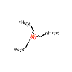 CCCCCCCC#CCCCOP(=O)(OCCCC#CCCCCCCC)OCCCC#CCCCCCCC